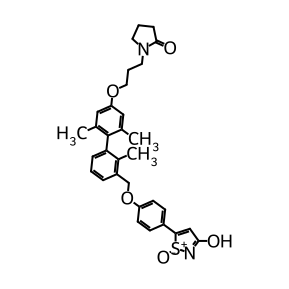 Cc1cc(OCCCN2CCCC2=O)cc(C)c1-c1cccc(COc2ccc(-c3cc(O)n[s+]3[O-])cc2)c1C